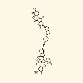 CC1(C)[C@H](Oc2ccc(C#N)c(Cl)c2)C(C)(C)[C@H]1N1Cc2nc(C#CC3CCC(N4CCC5(CCN(c6cc7c(cc6F)C(=O)N(C6CCC(=O)NC6=O)C7=O)C5)C4)CC3)ccc2C1=O